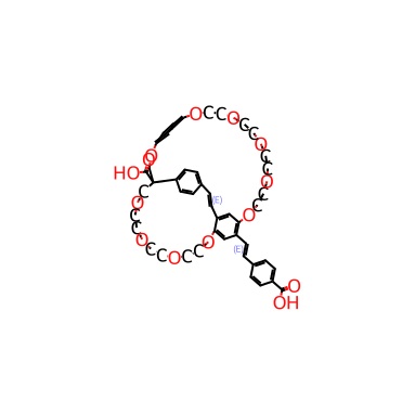 O=C(O)c1ccc(/C=C/c2cc3c4cc2OCCOCCOCCOCCOc2ccc(cc2)OCC(C(=O)O)(COCCOCCOCCO3)c2ccc(cc2)/C=C/4)cc1